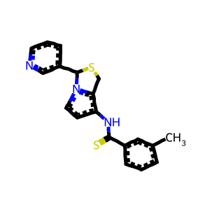 Cc1cccc(C(=S)Nc2ccn3c2CSC3c2cccnc2)c1